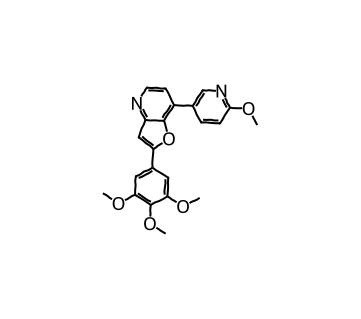 COc1ccc(-c2ccnc3cc(-c4cc(OC)c(OC)c(OC)c4)oc23)cn1